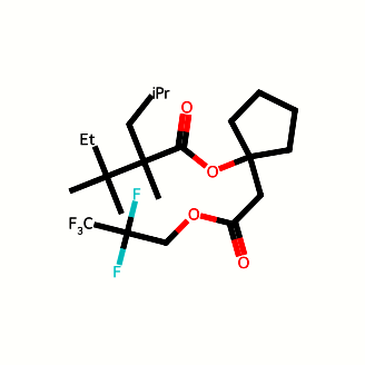 CCC(C)(C)C(C)(CC(C)C)C(=O)OC1(CC(=O)OCC(F)(F)C(F)(F)F)CCCC1